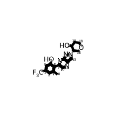 Cc1cc(C(F)(F)F)cc(O)c1-c1cnc2cn(C3COCCC3O)nc2n1